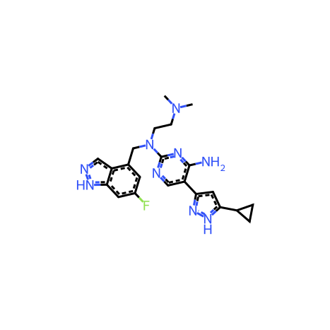 CN(C)CCN(Cc1cc(F)cc2[nH]ncc12)c1ncc(-c2cc(C3CC3)[nH]n2)c(N)n1